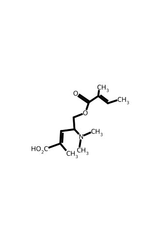 CC=C(C)C(=O)OCC(C=C(C)C(=O)O)N(C)C